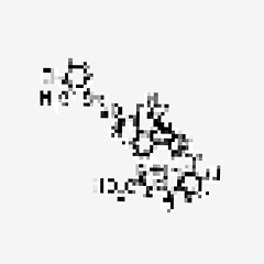 Cc1c(Cl)cccc1OCCOC(=O)N1C[C@@H]2C[C@@H]2c2c(-c3cnn(Cc4cc(C(=O)NC[C@@H](N)C(=O)O)ccc4Cl)c3)cccc21